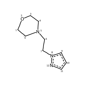 [CH]1COCCN1CCn1cccn1